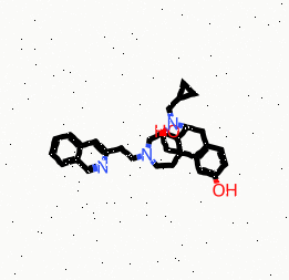 Oc1ccc2c(c1)C13CCN(CCc4cc5ccccc5cn4)CCC1(O)C(C2)N(CC1CC1)CC3